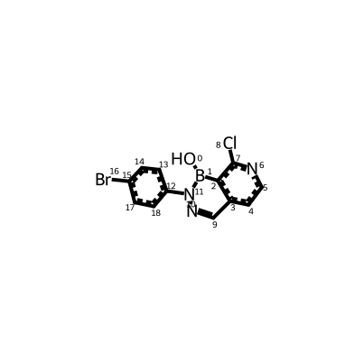 OB1c2c(ccnc2Cl)C=NN1c1ccc(Br)cc1